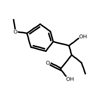 CCC(C(=O)O)C(O)c1ccc(OC)cc1